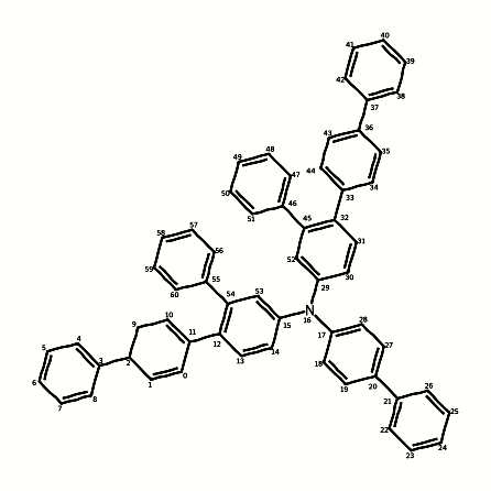 C1=CC(c2ccccc2)CC=C1c1ccc(N(c2ccc(-c3ccccc3)cc2)c2ccc(-c3ccc(-c4ccccc4)cc3)c(-c3ccccc3)c2)cc1-c1ccccc1